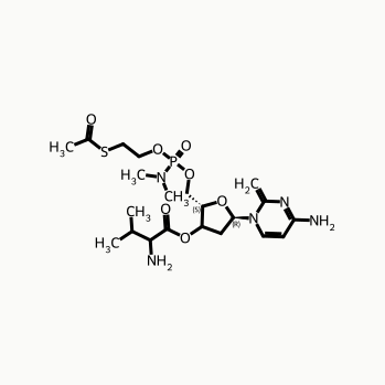 C=C1N=C(N)C=CN1[C@H]1CC(OC(=O)C(N)C(C)C)[C@H](COP(=O)(OCCSC(C)=O)N(C)C)O1